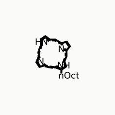 CCCCCCCCc1cc2cc3nc(cc4ccc(cc5nc(cc1[nH]2)C=C5)[nH]4)C=C3